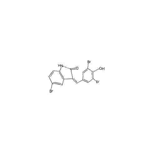 O=C1Nc2ccc(Br)cc2/C1=C/c1cc(Br)c(O)c(Br)c1